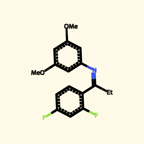 CCC(=Nc1cc(OC)cc(OC)c1)c1ccc(F)cc1F